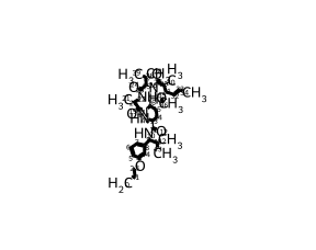 C=CCOc1cccc([C@H](NC(=O)[C@@H]2CCCN(C(=O)[C@H](C)NC(=O)[C@@H](NC(=O)[C@H](C)C(/C=C/C)OC)C(C)C)N2)C(C)C)c1